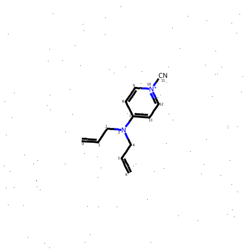 C=CCN(CC=C)c1cc[n+](C#N)cc1